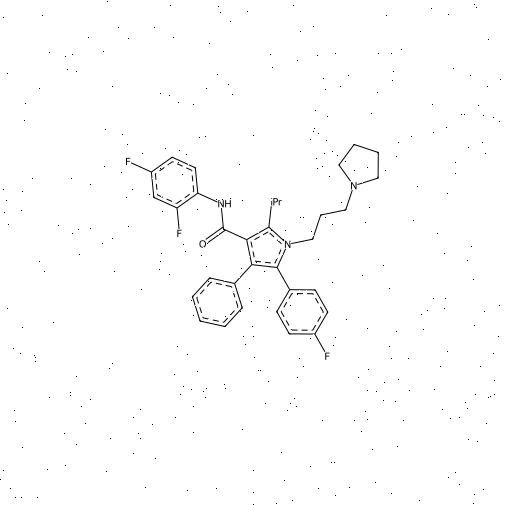 CC(C)c1c(C(=O)Nc2ccc(F)cc2F)c(-c2ccccc2)c(-c2ccc(F)cc2)n1CCCN1CCCC1